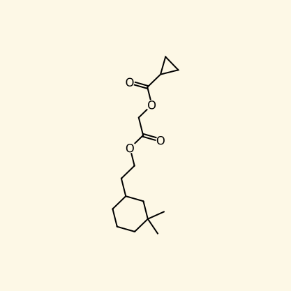 CC1(C)CCCC(CCOC(=O)COC(=O)C2CC2)C1